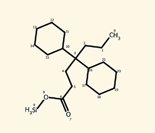 CCCC(CCC(=O)O[SiH3])(C1CCCCC1)C1CCCCC1